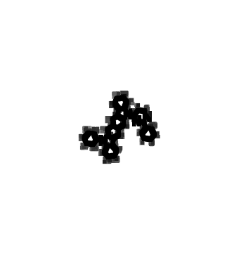 c1ccc(-c2nccc(-n3c4ccccc4c4cc5cc6c(cc5cc43)c3ccccc3n6-c3ccccc3)n2)cc1